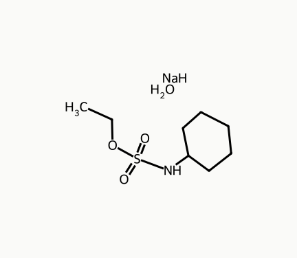 CCOS(=O)(=O)NC1CCCCC1.O.[NaH]